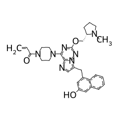 C=CC(=O)N1CCN(c2nc(OC[C@@H]3CCCN3C)nn3c(Cc4cc(O)cc5ccccc45)cnc23)CC1